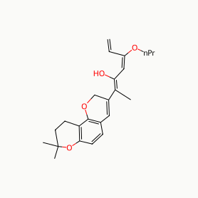 C=C/C(=C\C(O)=C(/C)C1=Cc2ccc3c(c2OC1)CCC(C)(C)O3)OCCC